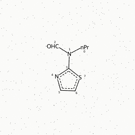 CCCN([C]=O)c1nccs1